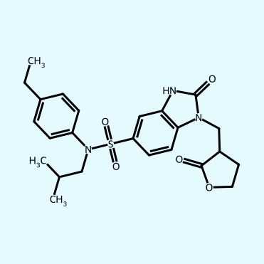 CCc1ccc(N(CC(C)C)S(=O)(=O)c2ccc3c(c2)[nH]c(=O)n3CC2CCOC2=O)cc1